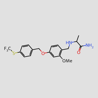 COc1cc(OCc2ccc(SC(F)(F)F)cc2)ccc1CNC(C)C(N)=O